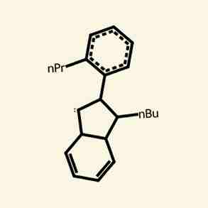 CCCCC1C(c2ccccc2CCC)[C]C2C=CC=CC21